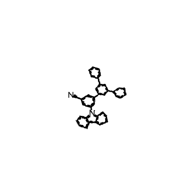 N#Cc1cc(-c2cc(-c3ccccc3)cc(-c3ccccc3)c2)cc(-n2c3ccccc3c3ccccc32)c1